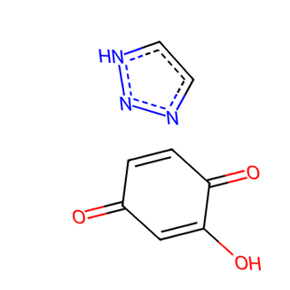 O=C1C=CC(=O)C(O)=C1.c1c[nH]nn1